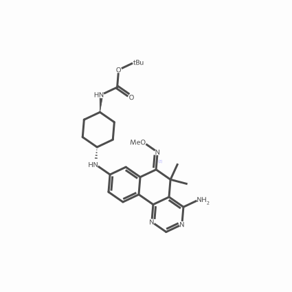 CO/N=C1\c2cc(N[C@H]3CC[C@H](NC(=O)OC(C)(C)C)CC3)ccc2-c2ncnc(N)c2C1(C)C